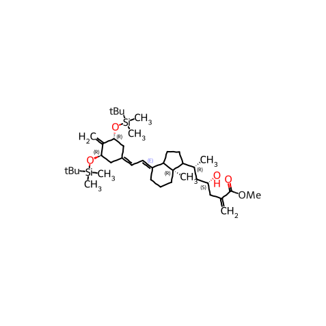 C=C(C[C@@H](O)C[C@@H](C)C1CCC2/C(=C/C=C3C[C@@H](O[Si](C)(C)C(C)(C)C)C(=C)[C@H](O[Si](C)(C)C(C)(C)C)C3)CCC[C@@]21C)C(=O)OC